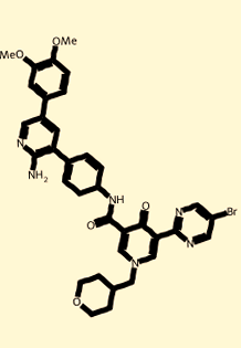 COc1ccc(-c2cnc(N)c(C3=CCC(NC(=O)c4cn(CC5CCOCC5)cc(-c5ncc(Br)cn5)c4=O)C=C3)c2)cc1OC